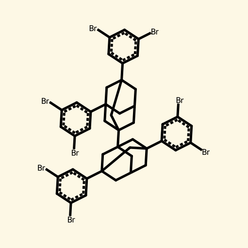 Brc1cc(Br)cc(C23CC4CC(c5cc(Br)cc(Br)c5)(C2)CC(C25CC6CC(c7cc(Br)cc(Br)c7)(CC(c7cc(Br)cc(Br)c7)(C6)C2)C5)(C4)C3)c1